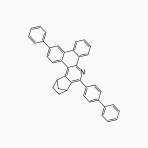 c1ccc(-c2ccc(-c3nc4c5ccccc5c5cc(-c6ccccc6)ccc5c4c4c3C3CCC4C3)cc2)cc1